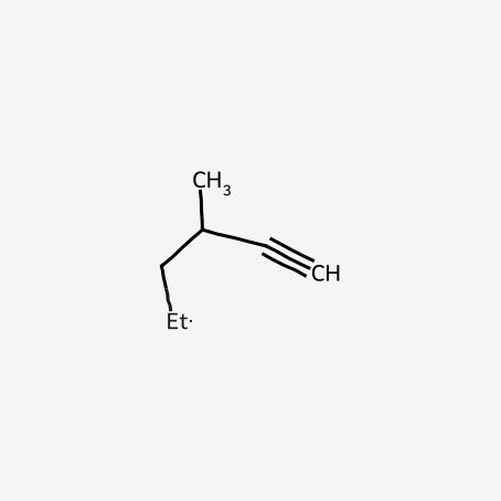 C#CC(C)C[CH]C